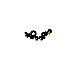 C=C(/C=C\C)/C(C)=C\C(=C)c1ccccccc(/C(C)=C/C(=C\C)C/C=C2\C(=C/C)C(C)(C)c3c2ccc2cc4c(cc32)sc2ccccc24)c2ccccc12